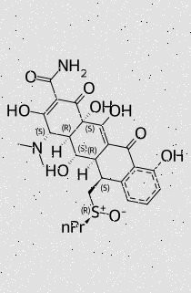 CCC[S@+]([O-])C[C@@H]1c2cccc(O)c2C(=O)C2=C(O)[C@]3(O)C(=O)C(C(N)=O)=C(O)[C@@H](N(C)C)[C@@H]3[C@@H](O)[C@@H]21